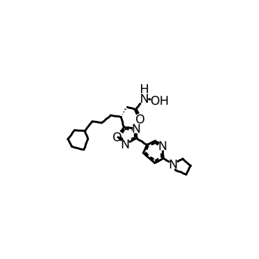 O=C(C[C@@H](CCCC1CCCCC1)c1nc(-c2ccc(N3CCCC3)nc2)no1)NO